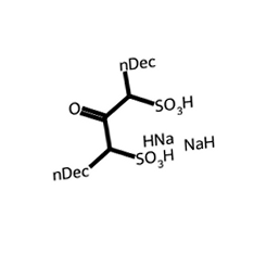 CCCCCCCCCCC(C(=O)C(CCCCCCCCCC)S(=O)(=O)O)S(=O)(=O)O.[NaH].[NaH]